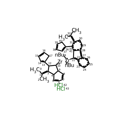 CC(C)=C1C2C=CC=CC2[CH]([Zr])C1C1=CC=CC1.CCC[CH2][Zr]([CH2]CCC)[C]1=c2ccccc2=c2ccc(=C(C)C)c(C3=CC=CC3)c21.Cl.Cl